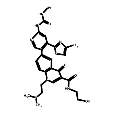 CC(C)NC(=O)Nc1cc(-c2nc(C(F)(F)F)cs2)c(-c2ccc3c(c2)c(=O)c(C(=O)NCCO)cn3CCN(C)C)cn1